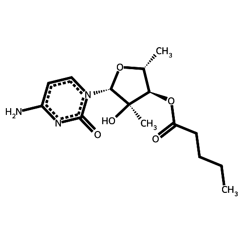 CCCCC(=O)O[C@@H]1[C@@H](C)O[C@@H](n2ccc(N)nc2=O)[C@]1(C)O